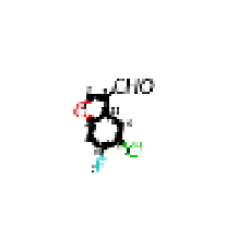 O=Cc1coc2cc(F)c(Cl)cc12